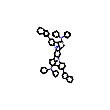 c1ccc(N(c2ccccc2)c2ccc3c4cc5c(cc4n4c6ccc(-c7ccc8ccccc8c7)cc6c2c34)c2ccc(N(c3ccccc3)c3ccccc3)c3c4cc(-c6ccc7ccccc7c6)ccc4n5c23)cc1